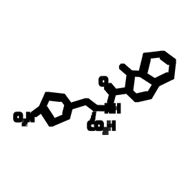 Cc1c(C(=O)N[C@@H](Cc2ccc([N+](=O)[O-])cc2)C(=O)O)ccc2ccccc12